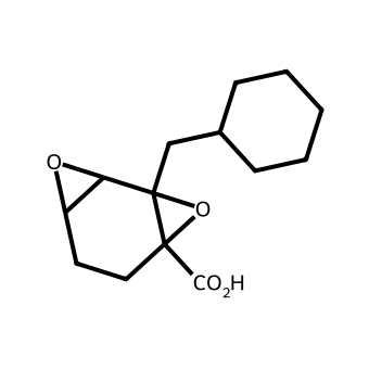 O=C(O)C12CCC3OC3C1(CC1CCCCC1)O2